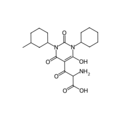 CC1CCCC(n2c(=O)c(C(=O)C(N)C(=O)O)c(O)n(C3CCCCC3)c2=O)C1